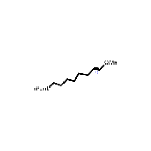 [CH2]O/C=C/CCCCCCCCCCC